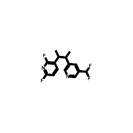 CC(c1cncc(C(F)F)c1)C(C)c1ccc(F)nc1F